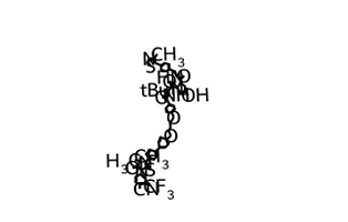 Cc1ncsc1-c1ccc(CNC(=O)[C@@H]2C[C@@H](O)CN2C(=O)[C@@H](NC(=O)c2ccc(OCCCOc3ccc(-c4ccc(N5C(=S)N(c6ccc(C#N)c(C(F)(F)F)c6)C(=O)C5(C)C)cc4)cc3)cc2)C(C)(C)C)cc1